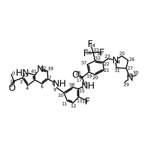 CC(=O)c1cc2cc(NCc3ccc(F)c(NC(=O)c4ccc(CN5CCC(N(C)C)C5)c(C(F)(F)F)c4)c3)cnc2[nH]1